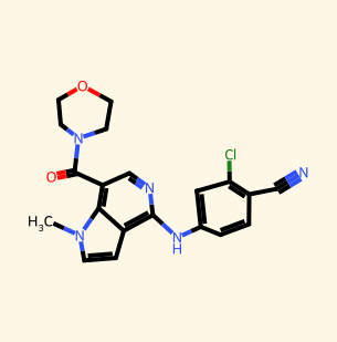 Cn1ccc2c(Nc3ccc(C#N)c(Cl)c3)ncc(C(=O)N3CCOCC3)c21